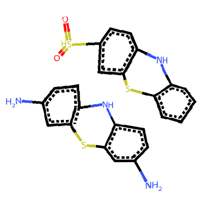 Nc1ccc2c(c1)Sc1cc(N)ccc1N2.O=[SH](=O)c1ccc2c(c1)Sc1ccccc1N2